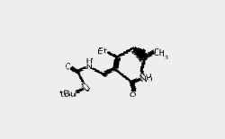 CCc1cc(C)[nH]c(=O)c1CNC(=O)OC(C)(C)C